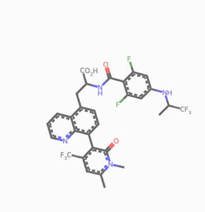 Cc1cc(C(F)(F)F)c(-c2ccc(CC(NC(=O)c3c(F)cc(NC(C)C(F)(F)F)cc3F)C(=O)O)c3cccnc23)c(=O)n1C